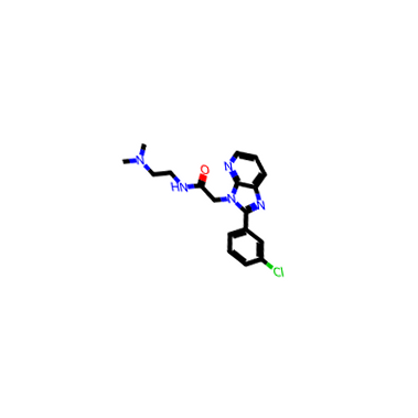 CN(C)CCNC(=O)Cn1c(-c2cccc(Cl)c2)nc2cccnc21